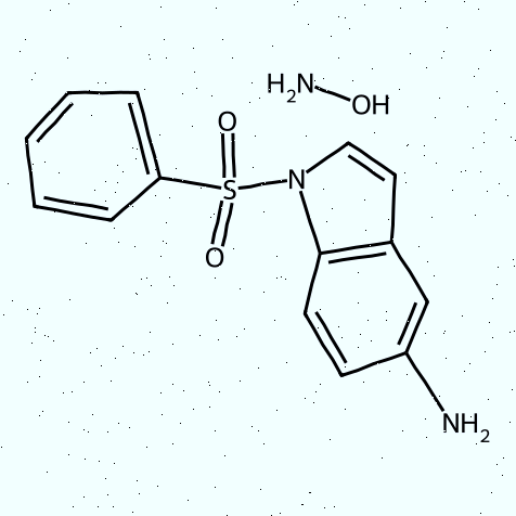 NO.Nc1ccc2c(ccn2S(=O)(=O)c2ccccc2)c1